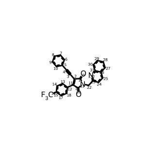 O=C1C(C#Cc2ccccc2)=C(c2ccc(C(F)(F)F)cc2)C(=O)N1Cc1ccc2ccccc2n1